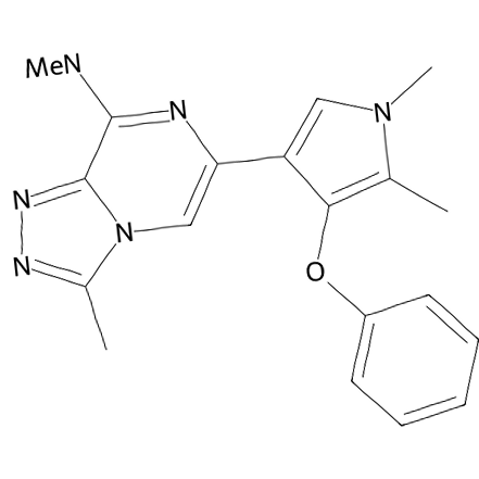 CNc1nc(-c2cn(C)c(C)c2Oc2ccccc2)cn2c(C)nnc12